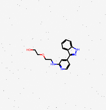 OCCOCCNc1cc(-c2n[nH]c3ccccc23)ccn1